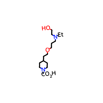 CCN(CCO)CCCOCCC1CCN(C(=O)O)CC1